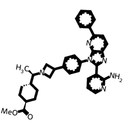 COC(=O)[C@H]1CC[C@H]([C@@H](C)N2CC(c3ccc(-n4c(-c5cccnc5N)nc5ccc(-c6ccccc6)nc54)cc3)C2)CC1